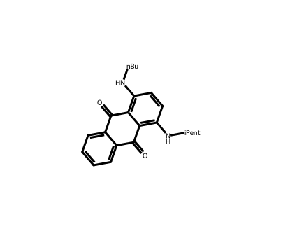 CCCCNc1ccc(NC(C)CCC)c2c1C(=O)c1ccccc1C2=O